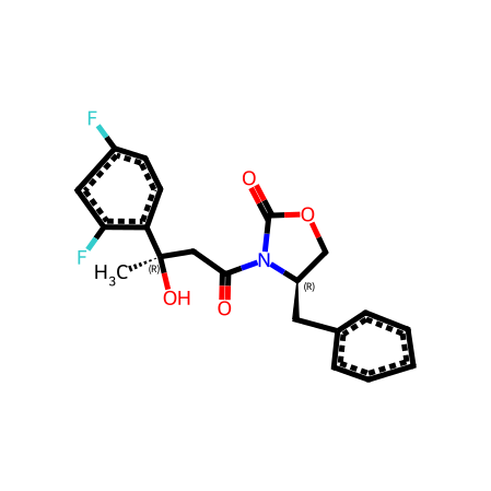 C[C@@](O)(CC(=O)N1C(=O)OC[C@H]1Cc1ccccc1)c1ccc(F)cc1F